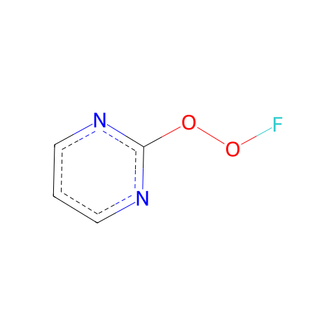 FOOc1ncccn1